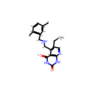 CC(=O)OCc1cnc2[nH]c(=O)[nH]c(=O)c2c1CNCc1cc(C)ccc1C